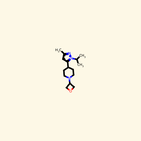 Cc1cc(C2CCN(C3COC3)CC2)n(C(C)C)n1